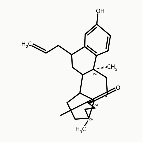 C=CCC1CC2C3CC[C@@]4(C)CCC(=O)[C@@]34CC[C@]2(C)c2ccc(O)cc21